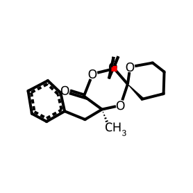 C[C@@]1(Cc2ccccc2)O[C@]2(CCCCO2)[C@@]2(CCCCO2)OC1=O